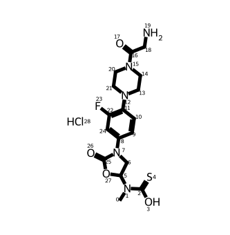 CN(C(O)=S)C1CN(c2ccc(N3CCN(C(=O)CN)CC3)c(F)c2)C(=O)O1.Cl